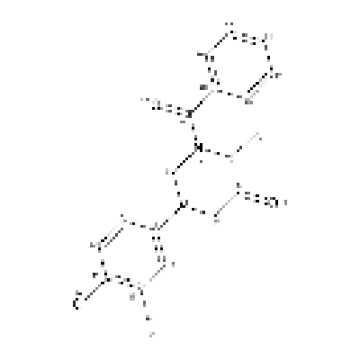 CCN(CC(CC=O)c1ccc(Cl)c(Cl)c1)C(=O)c1ccccc1